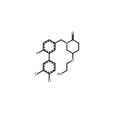 O=C1CCC(OCCO)CN1Cc1ccc(F)c(-c2ccc(Cl)c(Cl)c2)c1